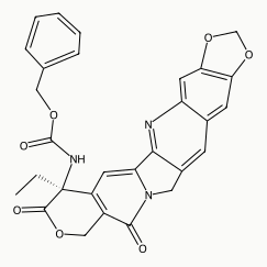 CC[C@@]1(NC(=O)OCc2ccccc2)C(=O)OCc2c1cc1n(c2=O)Cc2cc3cc4c(cc3nc2-1)OCO4